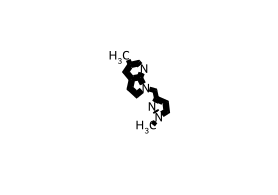 Cc1cnc2c(ccn2Cc2ccn(C)n2)c1